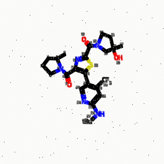 CC1CCCN1C(=O)c1nc(C(=O)N2CCC(C)(O)C2)sc1-c1cnc(NC(C)(C)C)cc1C(F)(F)F